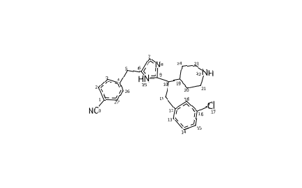 N#Cc1ccc(Cc2cnc(C(Cc3cccc(Cl)c3)C3CCNCC3)[nH]2)cc1